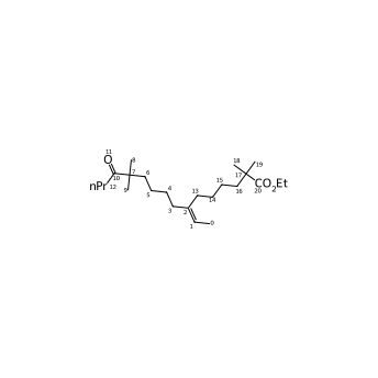 CC=C(CCCCC(C)(C)C(=O)CCC)CCCCC(C)(C)C(=O)OCC